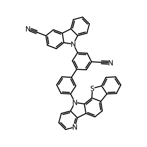 N#Cc1cc(-c2cccc(-n3c4cccnc4c4ccc5c6ccccc6sc5c43)c2)cc(-n2c3ccccc3c3cc(C#N)ccc32)c1